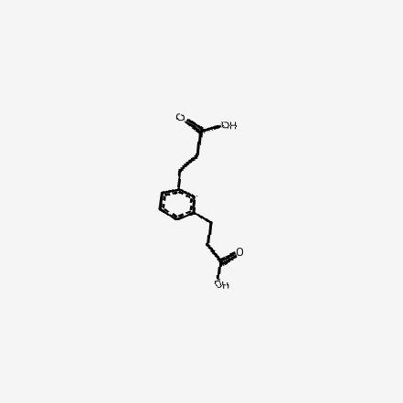 O=C(O)CCc1[c]c(CCC(=O)O)ccc1